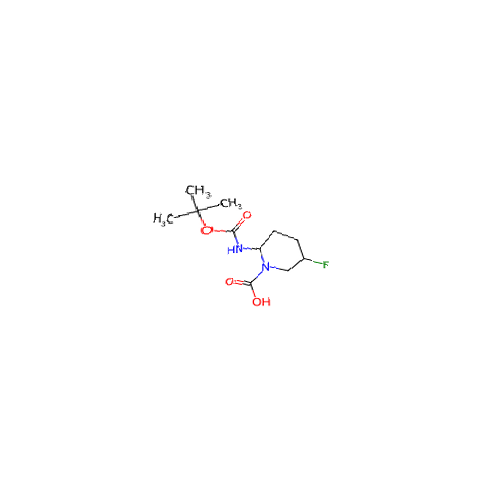 CC(C)(C)OC(=O)NC1CCC(F)CN1C(=O)O